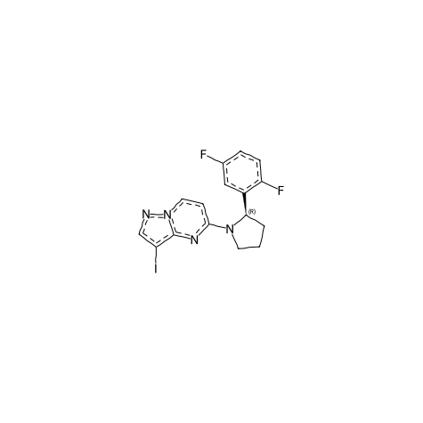 Fc1ccc(F)c([C@H]2CCCN2c2ccn3ncc(I)c3n2)c1